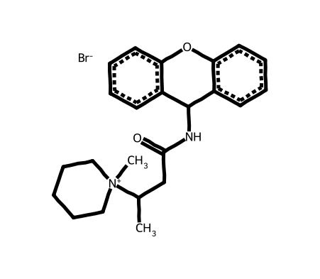 CC(CC(=O)NC1c2ccccc2Oc2ccccc21)[N+]1(C)CCCCC1.[Br-]